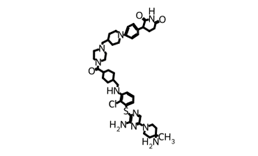 CC1(N)CCN(c2cnc(Sc3cccc(NCC4CCC(C(=O)N5CCN(CC6CCN(c7ccc(C8CCC(=O)NC8=O)cc7)CC6)CC5)CC4)c3Cl)c(N)n2)CC1